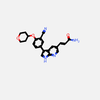 N#Cc1cc(-c2c[nH]c3ncc(/C=C/C(N)=O)cc23)ccc1OC1CCOCC1